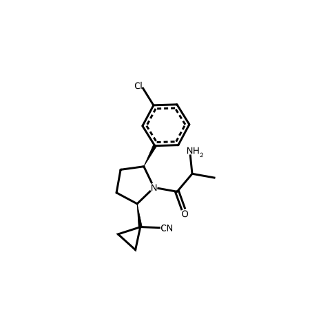 CC(N)C(=O)N1[C@H](c2cccc(Cl)c2)CC[C@@H]1C1(C#N)CC1